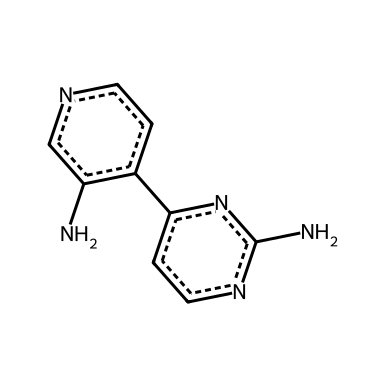 Nc1nccc(-c2ccncc2N)n1